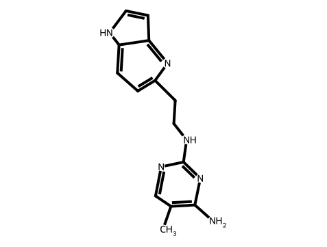 Cc1cnc(NCCc2ccc3[nH]ccc3n2)nc1N